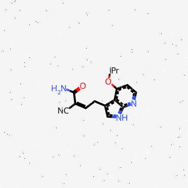 CC(C)Oc1ccnc2[nH]cc(CC=C(C#N)C(N)=O)c12